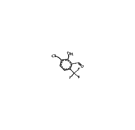 O=Cc1c(C(F)(F)F)ccc(Cl)c1O